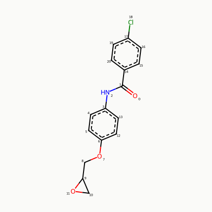 O=C(Nc1ccc(OCC2CO2)cc1)c1ccc(Cl)cc1